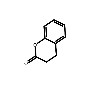 O=C1[C]Cc2ccccc2O1